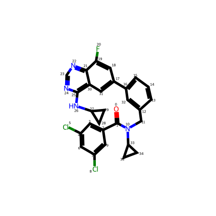 O=C(c1cc(Cl)cc(Cl)c1)N(Cc1cccc(-c2cc(F)c3ncnc(NC4CC4)c3c2)c1)C1CC1